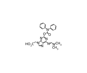 CN(C)/C=N/c1nc(OC(=O)N(c2ccccc2)c2ccccc2)nc2c1ncn2CC(=O)O